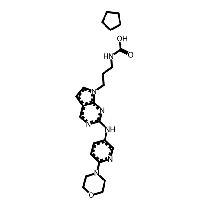 C1CCCC1.O=C(O)NCCCn1ccc2cnc(Nc3ccc(N4CCOCC4)nc3)nc21